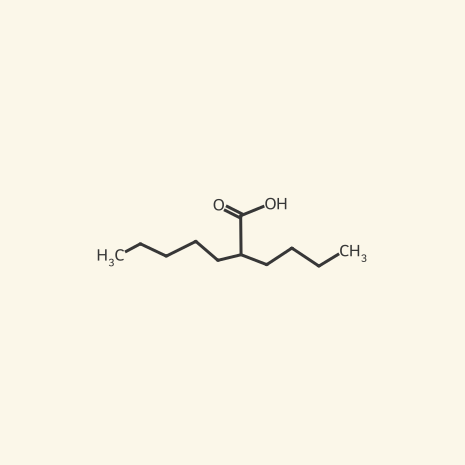 CCCCCC(CCCC)C(=O)O